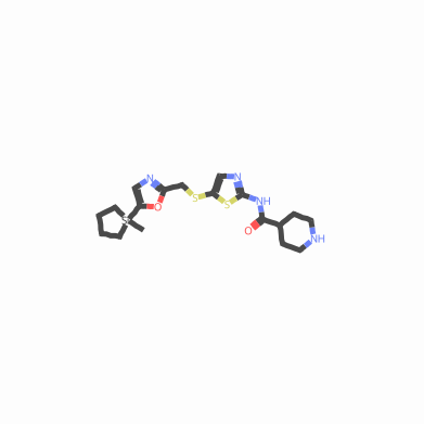 C[Si]1(c2cnc(CSc3cnc(NC(=O)C4CCNCC4)s3)o2)CCCC1